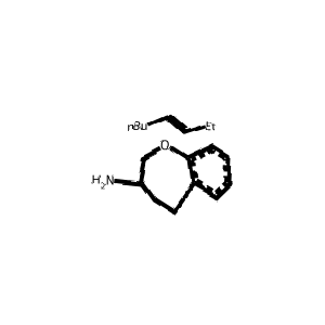 CCC=CCCCC.NC1CCc2ccccc2OC1